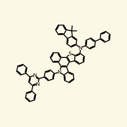 CC1(C)c2ccccc2-c2ccc(N(c3ccc(-c4ccccc4)cc3)c3cccc4c3sc3c5ccccc5c5c(c6ccccc6n5-c5ccc(-c6nc(-c7ccccc7)cc(-c7ccccc7)n6)cc5)c43)cc21